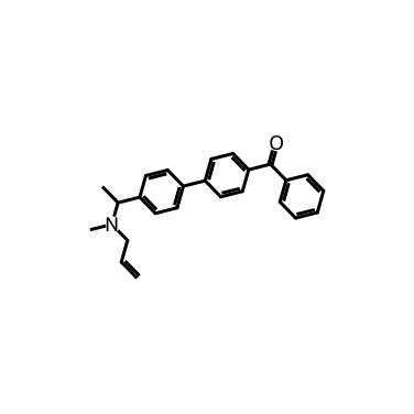 C=CCN(C)C(C)c1ccc(-c2ccc(C(=O)c3ccccc3)cc2)cc1